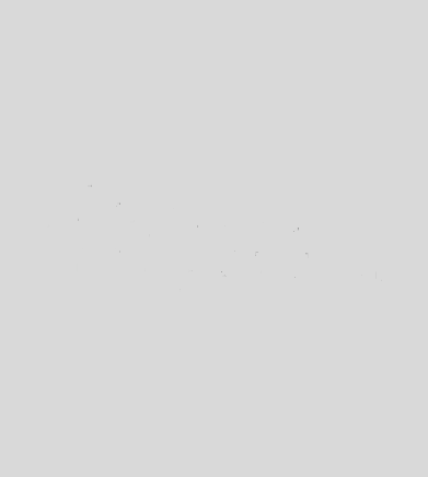 CCCC1COC(c2ccc(/C(F)=C(\F)c3cc(F)c(F)c(F)c3)c(F)c2)OC1